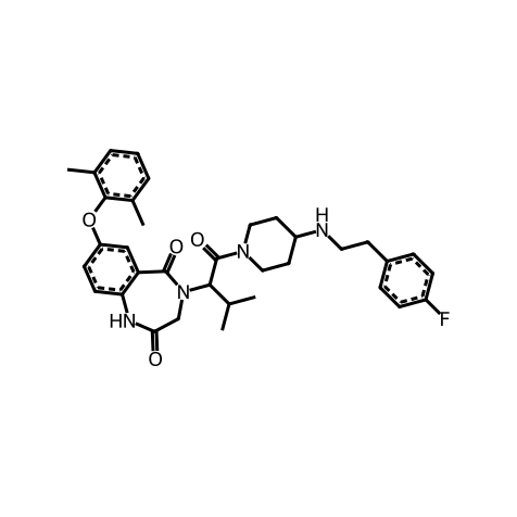 Cc1cccc(C)c1Oc1ccc2c(c1)C(=O)N(C(C(=O)N1CCC(NCCc3ccc(F)cc3)CC1)C(C)C)CC(=O)N2